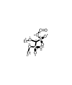 CCOC(S(=O)(=O)OC=O)S(=O)(=O)OCC